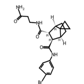 NC(=O)CCNC(=O)[C@H]1[C@H](C(=O)Nc2ccc(Br)cc2)[C@@H]2CC[C@H]1C21CC1